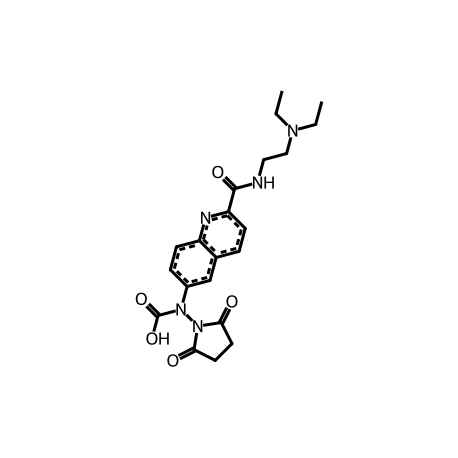 CCN(CC)CCNC(=O)c1ccc2cc(N(C(=O)O)N3C(=O)CCC3=O)ccc2n1